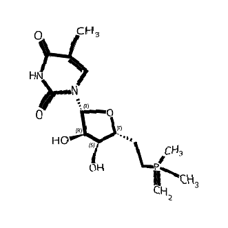 C=P(C)(C)CC[C@H]1O[C@@H](n2cc(C)c(=O)[nH]c2=O)[C@H](O)[C@@H]1O